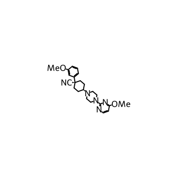 COc1cccc([C@]2(C#N)CC[C@@H](N3CCN(c4nccc(OC)n4)CC3)CC2)c1